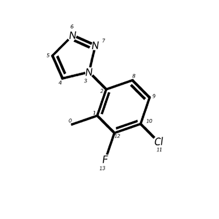 Cc1c(-n2ccnn2)ccc(Cl)c1F